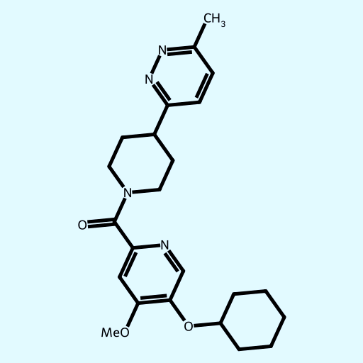 COc1cc(C(=O)N2CCC(c3ccc(C)nn3)CC2)ncc1OC1CCCCC1